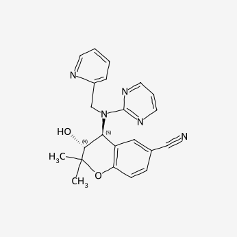 CC1(C)Oc2ccc(C#N)cc2[C@H](N(Cc2ccccn2)c2ncccn2)[C@H]1O